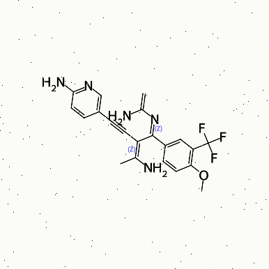 C=C(N)/N=C(\C(C#Cc1ccc(N)nc1)=C(\C)N)c1ccc(OC)c(C(F)(F)F)c1